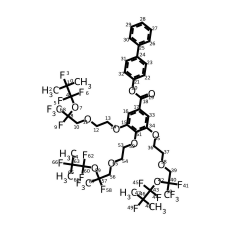 CC(C)(F)C(F)(F)OC(F)(COCCOc1cc(C(=O)Oc2ccc(-c3ccccc3)cc2)cc(OCCOCC(F)(OC(F)(F)C(C)(C)F)C(F)(F)F)c1OCCOCC(F)(OC(F)(F)C(C)(C)F)C(F)(F)F)C(F)(F)F